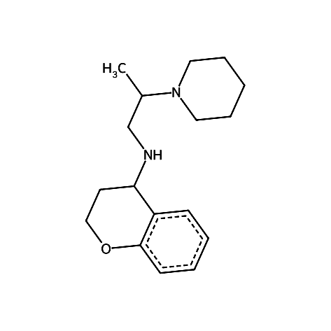 CC(CNC1CCOc2ccccc21)N1CCCCC1